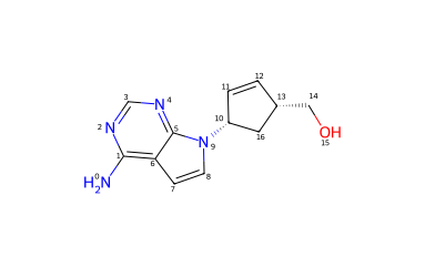 Nc1ncnc2c1ccn2[C@@H]1C=C[C@H](CO)C1